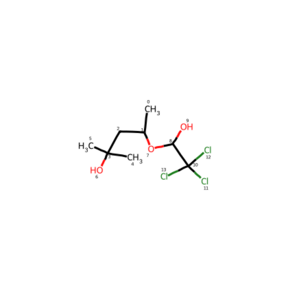 CC(CC(C)(C)O)OC(O)C(Cl)(Cl)Cl